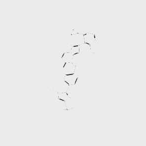 CCn1cc(C(F)(F)F)nc1-c1ccc(Cn2c(=O)ccn3nc(-c4c(OC)ncnc4C4CC4)cc23)cc1